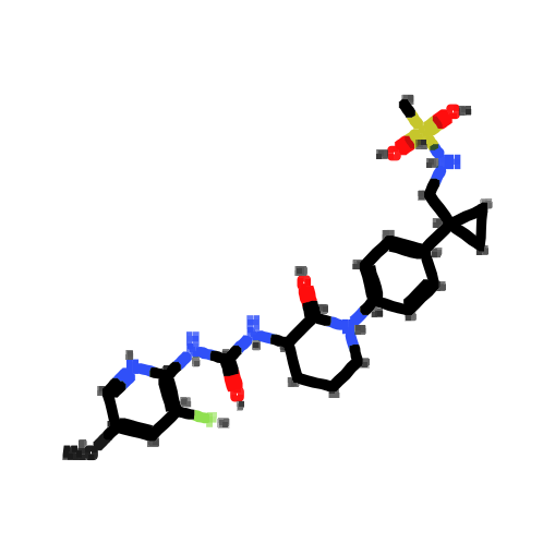 COc1cnc(NC(=O)NC2CCCN(c3ccc(C4(CNS(C)(=O)=O)CC4)cc3)C2=O)c(F)c1